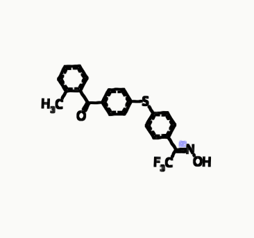 Cc1ccccc1C(=O)c1ccc(Sc2ccc(/C(=N/O)C(F)(F)F)cc2)cc1